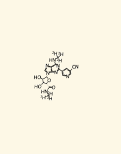 [2H]C([2H])([2H])NC(=O)[C@H]1O[C@@H](n2cnc3c(NC([2H])([2H])[2H])nc(-c4cncc(C#N)c4)nc32)[C@H](O)[C@@H]1O